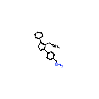 NCc1ccc(C2=CCC(c3ccccc3)=C2C[SiH3])cc1